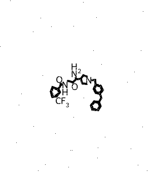 NC(C(=O)CNC(=O)c1cccc(C(F)(F)F)c1)C1CCN(Cc2ccc(Cc3ccccc3)cc2)CC1